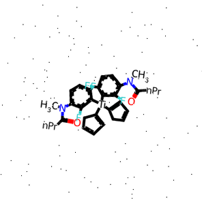 CCCC(=O)N(C)c1ccc(F)[c]([Ti]([C]2=CC=CC2)([C]2=CC=CC2)[c]2c(F)ccc(N(C)C(=O)CCC)c2F)c1F